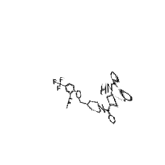 O=C1N[C@]2(CO1)C[C@H](C(=O)N1CCC(COc3ccc(C(F)(F)F)cc3F)CC1)C2